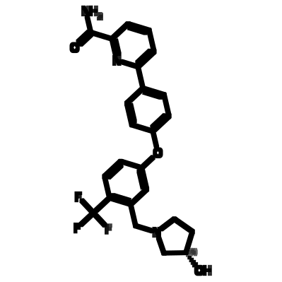 NC(=O)c1cccc(-c2ccc(Oc3ccc(C(F)(F)F)c(CN4CC[C@H](O)C4)c3)cc2)n1